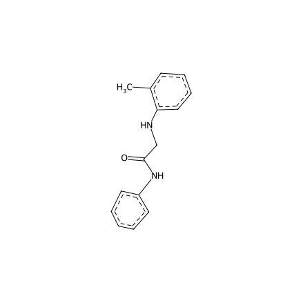 Cc1ccccc1NCC(=O)Nc1ccccc1